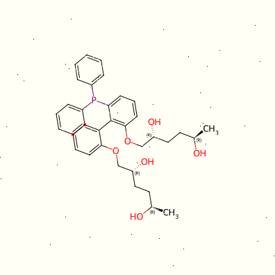 C[C@@H](O)CC[C@@H](O)COc1ccccc1-c1c(OC[C@H](O)CC[C@@H](C)O)cccc1P(c1ccccc1)c1ccccc1